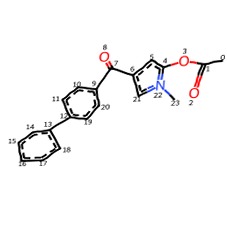 CC(=O)Oc1cc(C(=O)c2ccc(-c3ccccc3)cc2)cn1C